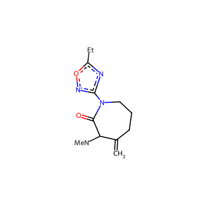 C=C1CCCN(c2noc(CC)n2)C(=O)C1NC